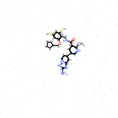 Cc1ncc(-c2ccn3nc(N)nc3c2)cc1C(=O)NCc1c(F)cc(F)cc1OCC1CCCC1